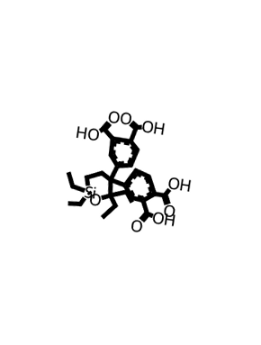 CCC1(CC)O[Si](CC)(CC)CCC1(c1ccc(C(=O)O)c(C(=O)O)c1)c1ccc(C(=O)O)c(C(=O)O)c1